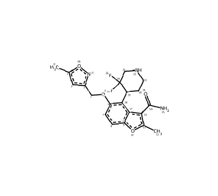 Cc1cc(COc2ccc3oc(C)c(C(N)=O)c3c2C2CCNCC2(F)F)no1